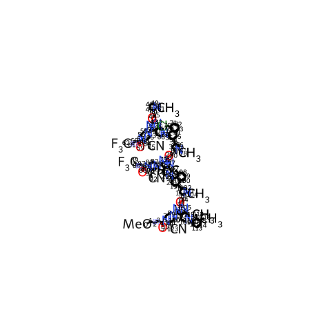 COC/C=C/C(=O)N1CCN(c2nc(OC[C@@H]3CC(c4ccc(N5CCc6c(nc(OC[C@@H]7CC(c8cc(N9CCc%10c(nc(OC[C@@H]%11CCCN%11C)nc%10N%10CCN(C(=O)/C=C/C(F)(F)F)[C@@H](CC#N)C%10)C9)c9c(Cl)cccc9c8)CN7C)nc6N6CCN(C(=O)/C=C/C(F)(F)F)[C@@H](CC#N)C6)C5)c5c(C)cccc45)CN3C)nc3c2CCN(c2cccc(C)c2C)C3)C[C@@H]1CC#N